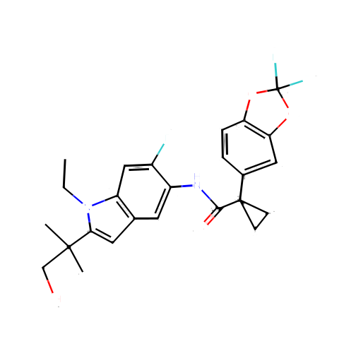 CCn1c(C(C)(C)CO)cc2cc(NC(=O)C3(c4ccc5c(c4)OC(F)(F)O5)CC3)c(F)cc21